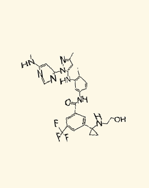 CNc1cc(-n2nc(C)cc2Nc2cc(NC(=O)c3cc(C(F)(F)F)cc(C4(NCCO)CC4)c3)ccc2C)ncn1